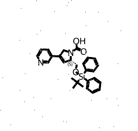 CC(C)(C)[Si](OC[C@@H]1C=C(c2cccnc2)CN1C(=O)O)(c1ccccc1)c1ccccc1